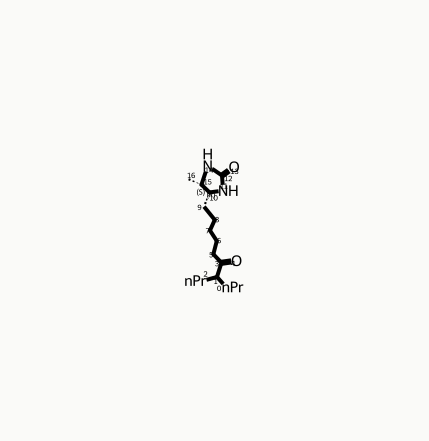 CCCC(CCC)C(=O)CCCCC[C@H]1NC(=O)N[C@H]1C